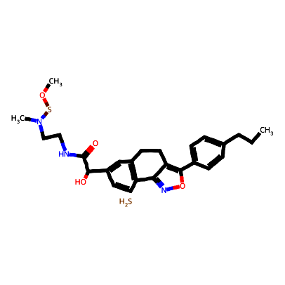 CCCc1ccc(-c2onc3c2CCc2cc(C(O)C(=O)NCCN(C)SOC)ccc2-3)cc1.S